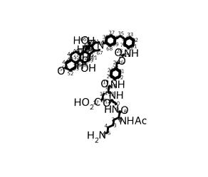 CC(=O)N[C@@H](CCCCN)C(=O)NCC(=O)N[C@@H](CCC(=O)O)C(=O)Nc1ccc(COC(=O)Nc2cccc(Cc3ccc(N4C[C@@H]5C[C@H]6[C@@H]7CCC8=CC(=O)C=C[C@]8(C)[C@H]7[C@@H](O)C[C@]6(C)[C@]5(C(=O)CO)C4)cc3)c2)cc1